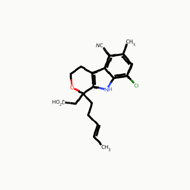 CC=CCCC1(CC(=O)O)OCCc2c1[nH]c1c(Cl)cc(C)c(C#N)c21